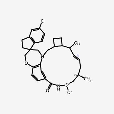 C[C@@H]1C/C=C/C(O)C2CCC2CN2CC3(CCc4cc(Cl)ccc43)COc3ccc(cc32)C(=O)N[S+]([O-])C1